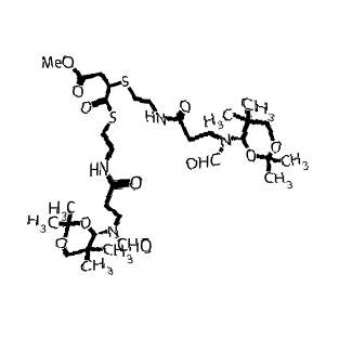 COC(=O)CC(SCCNC(=O)CCN(C=O)[C@@H]1OC(C)(C)OCC1(C)C)C(=O)SCCNC(=O)CCN(C=O)[C@@H]1OC(C)(C)OCC1(C)C